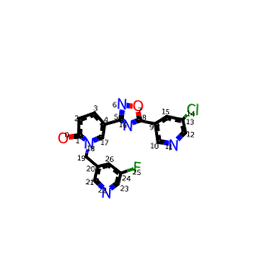 O=c1ccc(-c2noc(-c3cncc(Cl)c3)n2)cn1Cc1cncc(F)c1